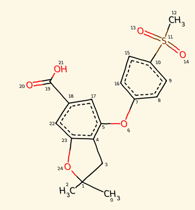 CC1(C)Cc2c(Oc3ccc(S(C)(=O)=O)cc3)cc(C(=O)O)cc2O1